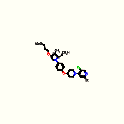 CCc1cc(N2CCC(Oc3ccc(N4C[C@H](OCCCOC)[C@@H](C)[C@@H]4CC(=O)O)cc3)CC2)c(Cl)cn1